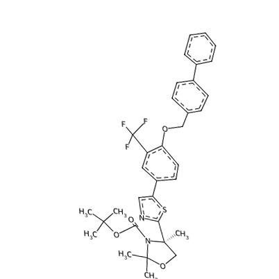 CC(C)(C)OC(=O)N1C(C)(C)OC[C@]1(C)c1ncc(-c2ccc(OCc3ccc(-c4ccccc4)cc3)c(C(F)(F)F)c2)s1